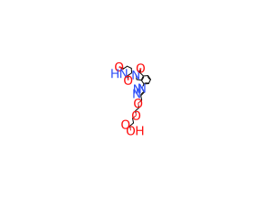 O=C(O)CCOCCOCc1cn(-c2cccc3c2CN(C2CCC(=O)NC2=O)C3=O)nn1